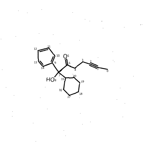 CC#CCCC(=O)C(O)(c1ccccc1)C1CCCCC1